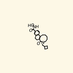 O=C(NO)c1ccc2c(c1)CCC1=C2CCCCCN(CC2CCC2)C1=O